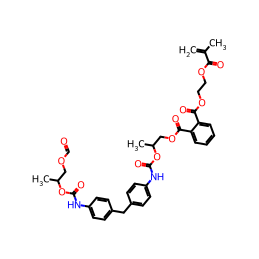 C=C(C)C(=O)OCCOC(=O)c1ccccc1C(=O)OCC(C)OC(=O)Nc1ccc(Cc2ccc(NC(=O)OC(C)COC=O)cc2)cc1